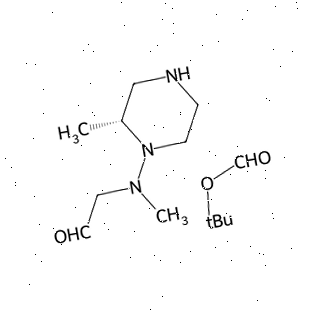 CC(C)(C)OC=O.C[C@@H]1CNCCN1N(C)CC=O